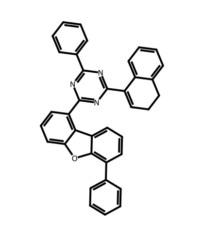 C1=C(c2nc(-c3ccccc3)nc(-c3cccc4oc5c(-c6ccccc6)cccc5c34)n2)c2ccccc2CC1